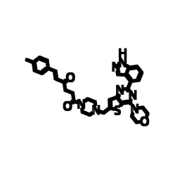 Cc1ccc(C=CC(=O)CCC(=O)N2CCN(Cc3cc4nc(-c5cccc6[nH]ncc56)nc(N5CCOCC5)c4s3)CC2)cc1